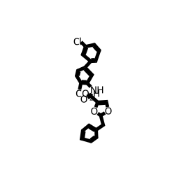 O=C(Nc1cc(-c2cccc(Cl)c2)ccc1C(=O)O)C1=COC(Cc2ccccc2)O1